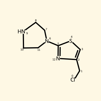 ClCc1csc(N2CCNCC2)n1